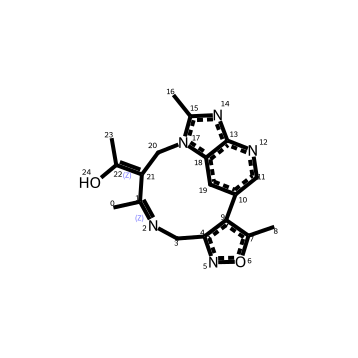 C/C1=N/Cc2noc(C)c2-c2cnc3nc(C)n(c3c2)C\C1=C(/C)O